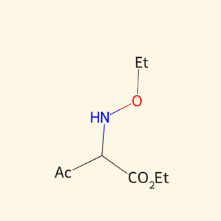 CCONC(C(C)=O)C(=O)OCC